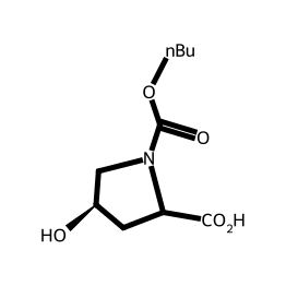 CCCCOC(=O)N1C[C@H](O)CC1C(=O)O